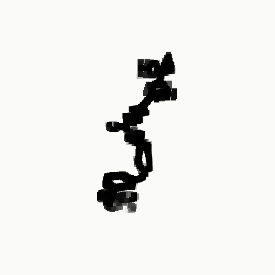 O=C(N1CC2(CC(c3nc(C4(O)CC4)n[nH]3)C2)C1)N1CC2(CCN(Cc3cccc(S(=O)(=O)C(F)(F)F)c3)C2)C1